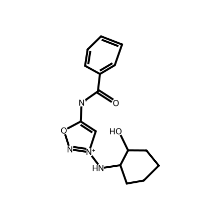 O=C([N-]c1c[n+](NC2CCCCC2O)no1)c1ccccc1